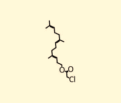 CC(C)=CCCC(C)=CCCC(C)=CCCOC(=O)CCl